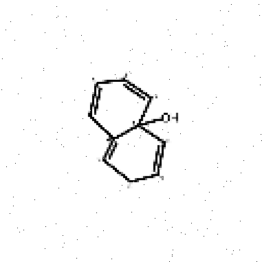 OC12C=CC=CC1=CCC=C2